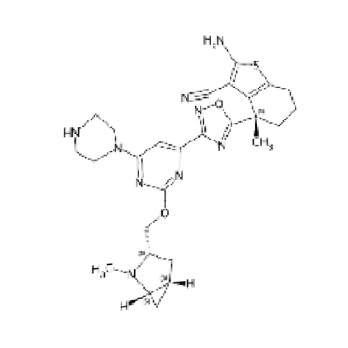 CN1[C@H](COc2nc(-c3noc([C@@]4(C)CCCc5sc(N)c(C#N)c54)n3)cc(N3CCNCC3)n2)C[C@@H]2C[C@@H]21